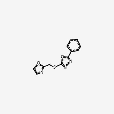 c1ccc(-c2nnc(SCc3ncco3)o2)cc1